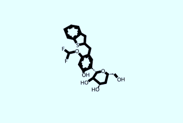 OC[C@@H]1C[C@H](O)C(O)[C@H](c2cc(CC3Cc4ccccc4S3)c(OC(F)F)cc2O)O1